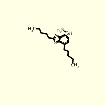 CCCCCc1nc2c(CCCCC)cccc2s1.NS